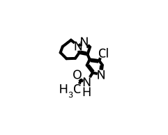 CC(=O)Nc1cc(-c2cnn3c2CCCCC3)c(Cl)cn1